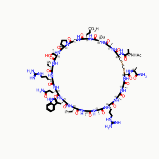 CC[C@H](C)[C@@H]1NC(=O)[C@H](C)NC(=O)[C@@H](NC(=O)[C@@H](C)NC(C)=O)CSCS[C@@H](C(=O)N[C@@H](C)C(N)=O)NC(=O)[C@H](C)NC(=O)[C@H](C)NC(=O)[C@H](CCCNC(=N)N)NC(=O)[C@H](C)NC(=O)[C@H](C)NC(=O)[C@H](CC(C)C)NC(=O)[C@H](Cc2c[nH]c3ccccc23)NC(=O)[C@H](CCC(N)=O)NC(=O)[C@H](CCCNC(=N)N)NC(=O)[C@H](CC(C)C)NC(=O)[C@H]([C@@H](C)O)NC(=O)[C@@H]2CCCN2C(=O)CNC(=O)[C@H](CCC(=O)O)NC1=O